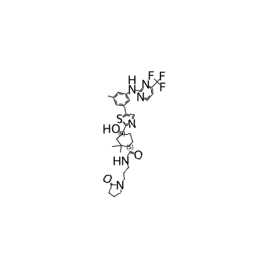 Cc1cc(Nc2nccc(C(F)(F)F)n2)cc(-c2cnc([C@@]3(O)CC[C@H](C(=O)NCCCN4CCCC4=O)C(C)(C)C3)s2)c1